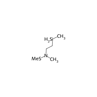 C[SiH2]CCN(C)SC